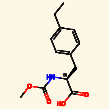 CCc1ccc(C[C@H](NC(=O)OC)C(=O)O)cc1